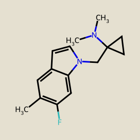 Cc1cc2ccn(CC3(N(C)C)CC3)c2cc1F